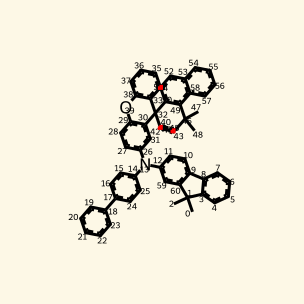 CC1(C)c2ccccc2-c2ccc(N(c3ccc(-c4ccccc4)cc3)c3ccc4c(c3)C3(c5ccccc5O4)c4ccccc4C(C)(C)c4c3ccc3ccccc43)cc21